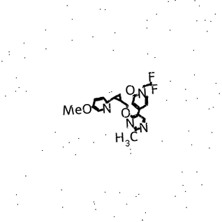 COc1ccc(C2CC2COc2nc(C)ncc2-c2ccn(CC(F)F)c(=O)c2)nc1